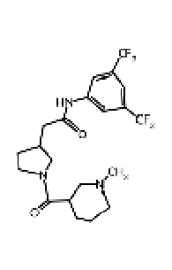 CN1CCCC(C(=O)N2CCC(CC(=O)Nc3cc(C(F)(F)F)cc(C(F)(F)F)c3)C2)C1